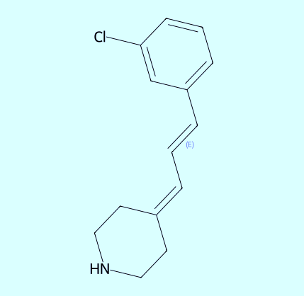 Clc1cccc(/C=C/C=C2CCNCC2)c1